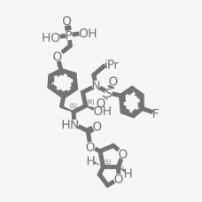 CC(C)CN(C[C@@H](O)[C@H](Cc1ccc(OCP(=O)(O)O)cc1)NC(=O)OC1CO[C@H]2OCC[C@@H]12)S(=O)(=O)c1ccc(F)cc1